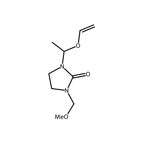 C=COC(C)N1CCN(COC)C1=O